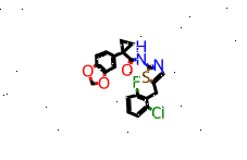 O=C(Nc1ncc(Cc2c(F)cccc2Cl)s1)C1(c2ccc3c(c2)OCO3)CC1